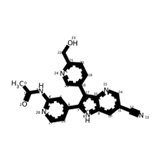 CC(=O)Nc1cc(-c2[nH]c3cc(C#N)cnc3c2-c2ccc(CO)nc2)ccn1